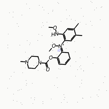 CONc1cc(C)c(C)cc1/[N+](OC)=C1\CC=CC=C1OC(=O)N1CCN(C)CC1